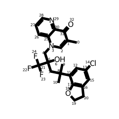 Cc1cn(CC(O)(CC(C)(C)c2cc(Cl)cc3c2OCC3)C(F)(F)F)c2cccnc2c1=O